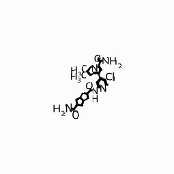 CC1(C)Cc2c(-c3cc(NC(=O)C4CC5CC(C(N)=O)CC5C4)ncc3Cl)cc(C(N)=O)n2C1